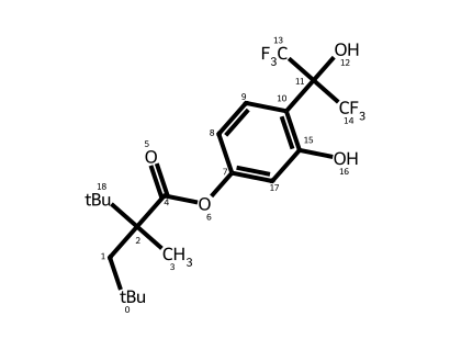 CC(C)(C)CC(C)(C(=O)Oc1ccc(C(O)(C(F)(F)F)C(F)(F)F)c(O)c1)C(C)(C)C